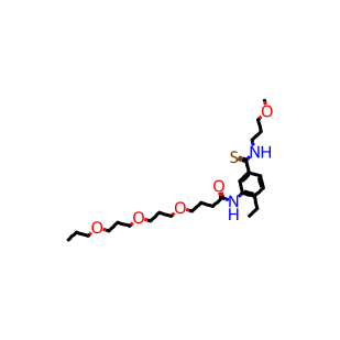 CCCOCCCOCCCOCCCC(=O)Nc1cc(C(=S)NCCCOC)ccc1CC